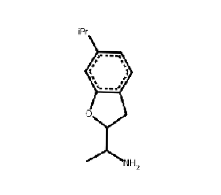 CC(C)c1ccc2c(c1)OC(C(C)N)C2